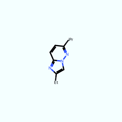 CCc1cn2nc(C(C)C)ccc2n1